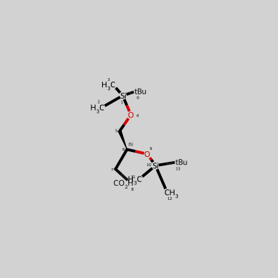 CC(C)(C)[Si](C)(C)OC[C@H](CC(=O)O)O[Si](C)(C)C(C)(C)C